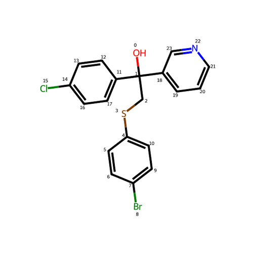 OC(CSc1ccc(Br)cc1)(c1ccc(Cl)cc1)c1cccnc1